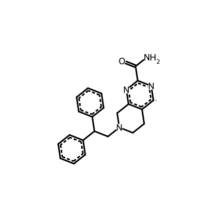 NC(=O)c1n[c]c2c(n1)CN(CC(c1ccccc1)c1ccccc1)CC2